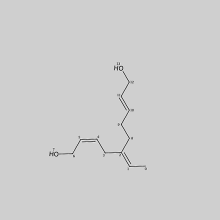 C/C=C(/C/C=C\CO)CC/C=C/CO